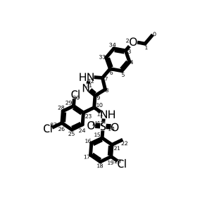 CCOc1ccc(C2CC(C(NS(=O)(=O)c3cccc(Cl)c3C)c3ccc(Cl)cc3Cl)=NN2)cc1